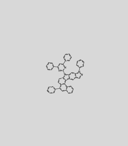 c1ccc(-c2cc(-c3ccccc3)nc(-n3c4cc5c(cnn5-c5ccccc5)cc4c4c5c(ccc43)c(-c3ccccc3)cc3ccccc35)n2)cc1